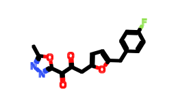 Cc1nnc(C(=O)C(=O)Cc2ccc(Cc3ccc(F)cc3)o2)o1